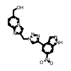 O=[N+]([O-])c1cc(-c2cn(Cc3cn4cc(CO)ccc4n3)nn2)c2cn[nH]c2c1